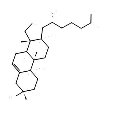 C[C@H](CCC[C@H](C)C(F)(F)F)[C@H]1CC[C@H]2[C@@H]3CC=C4C[C@@](C)(O)CC[C@]4(C)[C@H]3CC[C@]12C